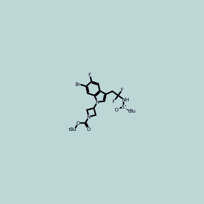 CC(C)(C)OC(=O)N1CC(n2cc(CC(F)(F)N[S@@+]([O-])C(C)(C)C)c3cc(F)c(Br)cc32)C1